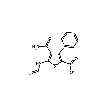 NC(=O)c1c(NC=O)sc([N+](=O)[O-])c1-c1ccccc1